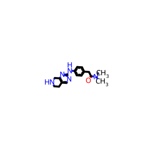 CN(C)C(=O)Cc1ccc(Nc2ncc3c(n2)CNCC3)cc1